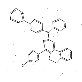 Clc1ccc(-c2cc(N(c3ccccc3)c3ccc(-c4ccccc4)cc3)cc3c2CCc2ccccc2-3)cc1